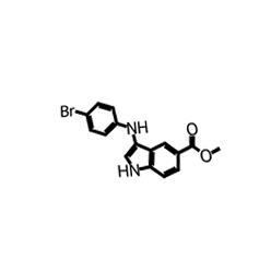 COC(=O)c1ccc2[nH]cc(Nc3ccc(Br)cc3)c2c1